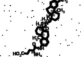 C[C@]1(CNC(=O)[C@@]2(C)CCC[C@]3(C)c4cc(NC(=O)[C@@H](N)CCC(=O)O)ccc4CC[C@@H]23)CCC[C@]2(C)c3cc(N)ccc3CC[C@@H]12